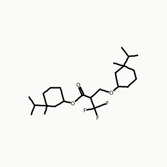 CC(C)C1(C)CCCC(OCC(C(=O)OC2CCCC(C)(C(C)C)C2)C(F)(F)F)C1